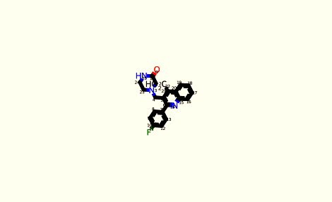 O=C1CN(Cc2c(-c3ccc(F)cc3)nc3ccccc3c2C(=O)O)CCN1